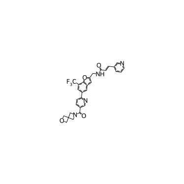 O=C(/C=C/c1cccnc1)NCc1cc2cc(-c3ccc(C(=O)N4CC5(COC5)C4)cn3)cc(C(F)(F)F)c2o1